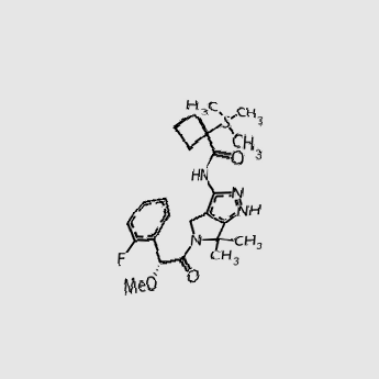 CO[C@@H](C(=O)N1Cc2c(NC(=O)C3(S(C)(C)C)CCC3)n[nH]c2C1(C)C)c1ccccc1F